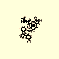 CC(C)CC(NC(=O)OC(c1ccccc1)C1(c2cccc(Cl)c2)CCCC1)C(=O)NC(CC1CCNC1=O)C(=O)C(=O)NC1CC1